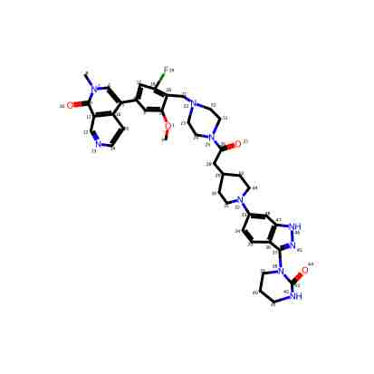 COc1cc(-c2cn(C)c(=O)c3cnccc23)cc(F)c1CN1CCN(C(=O)CC2CCN(c3ccc4c(N5CCCNC5=O)n[nH]c4c3)CC2)CC1